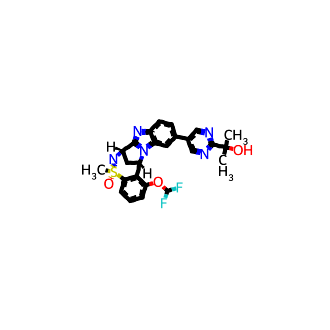 CC(C)(O)c1ncc(-c2ccc3nc4n(c3c2)[C@H]2C[C@@H]4N=S(C)(=O)c3cccc(OC(F)F)c32)cn1